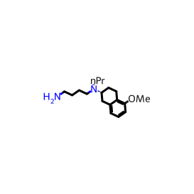 CCCN(CCCCN)[C@@H]1CCc2c(cccc2OC)C1